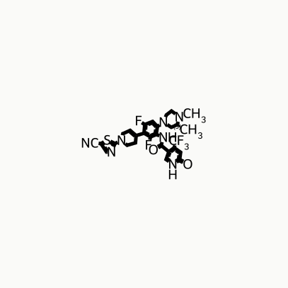 C[C@H]1CN(c2cc(F)c(C3=CCN(c4ncc(C#N)s4)CC3)c(F)c2NC(=O)c2c[nH]c(=O)cc2C(F)(F)F)CCN1C